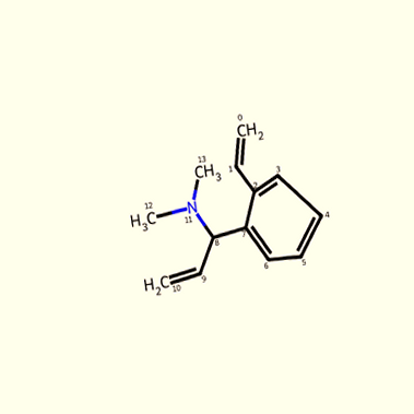 C=Cc1ccccc1C(C=C)N(C)C